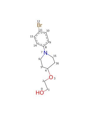 OCCOC1CCN(c2ccc(Br)cc2)CC1